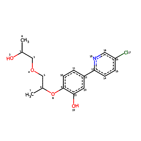 CC(O)COCC(C)Oc1ccc(-c2ccc(Cl)cn2)cc1O